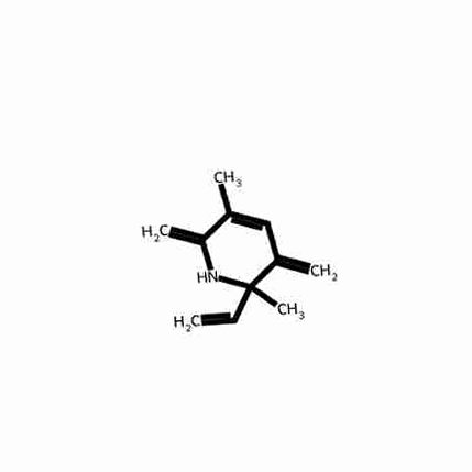 C=CC1(C)NC(=C)C(C)=CC1=C